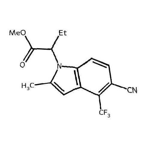 CCC(C(=O)OC)n1c(C)cc2c(C(F)(F)F)c(C#N)ccc21